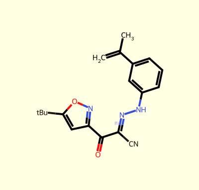 C=C(C)c1cccc(N/N=C(\C#N)C(=O)c2cc(C(C)(C)C)on2)c1